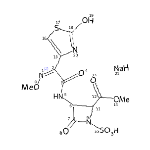 CO/N=C(\C(=O)NC1C(=O)N(S(=O)(=O)O)C1C(=O)OC)c1csc(O)n1.[NaH]